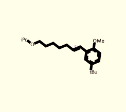 COc1ccc(C(C)(C)C)cc1/C=C/CCCCCOC(C)C